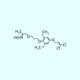 CCc1cc(OCC=C(Cl)Cl)cc(CC)c1OCCCOCC(C)=NO